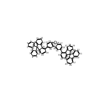 c1ccc2c(c1)-c1ccccc1C21c2ccccc2-c2c(-c3ccc4oc5ccc(-c6cccc7c6-c6ccccc6C76c7ccccc7-c7ccccc76)cc5c4c3)cccc21